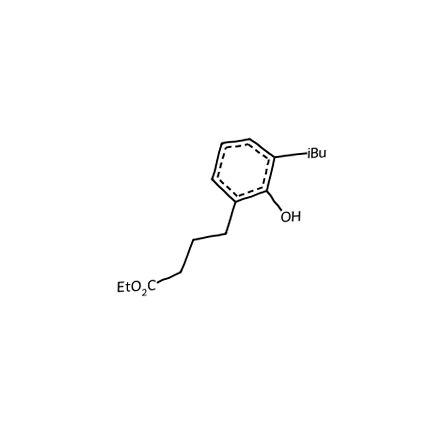 CCOC(=O)CCCc1cccc(C(C)CC)c1O